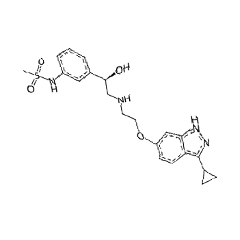 CS(=O)(=O)Nc1cccc([C@@H](O)CNCCOc2ccc3c(C4CC4)n[nH]c3c2)c1